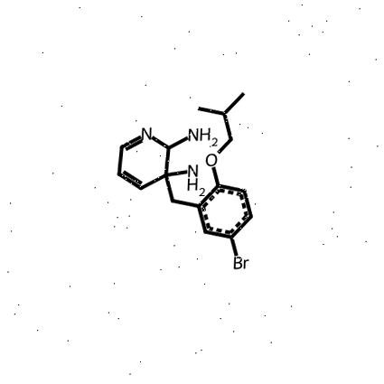 CC(C)COc1ccc(Br)cc1CC1(N)C=CC=NC1N